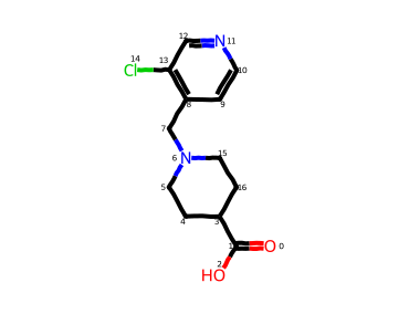 O=C(O)C1CCN(Cc2ccncc2Cl)CC1